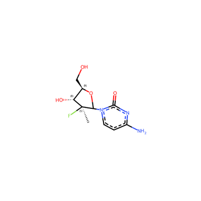 C[C@@]1(F)C(n2ccc(N)nc2=O)O[C@H](CO)[C@H]1O